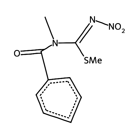 CS/C(=N\[N+](=O)[O-])N(C)C(=O)c1ccccc1